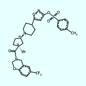 Cc1ccc(S(=O)(=O)Oc2cc(C3CCN([C@@H]4CC[C@@](C(=O)N5COc6ccc(C(F)(F)F)cc6C5)(C(C)C)C4)CC3)on2)cc1